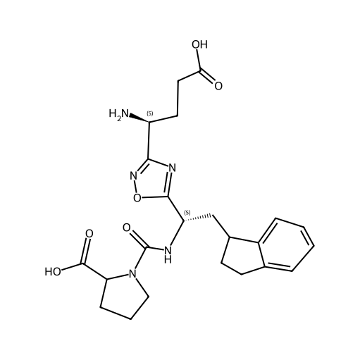 N[C@@H](CCC(=O)O)c1noc([C@H](CC2CCc3ccccc32)NC(=O)N2CCCC2C(=O)O)n1